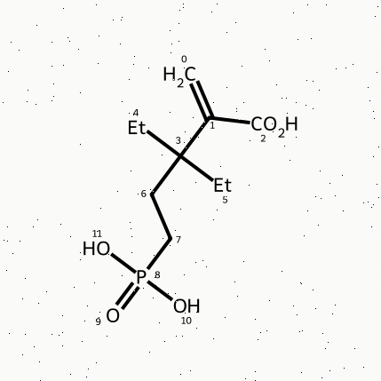 C=C(C(=O)O)C(CC)(CC)CCP(=O)(O)O